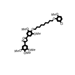 COc1[c]cc(Cl)cc1OCCCCCCCCCOc1c(OC)cc(C2CC(c3cc(OC)c(OC)c(OC)c3)=NO2)cc1OC